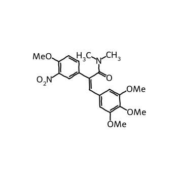 COc1ccc(C(=Cc2cc(OC)c(OC)c(OC)c2)C(=O)N(C)C)cc1[N+](=O)[O-]